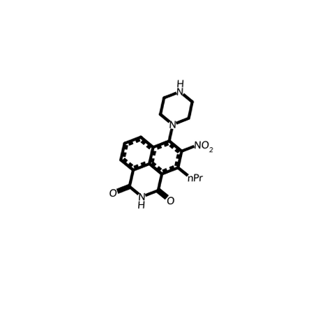 CCCc1c([N+](=O)[O-])c(N2CCNCC2)c2cccc3c2c1C(=O)NC3=O